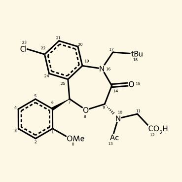 COc1ccccc1[C@@H]1O[C@@H](N(CC(=O)O)C(C)=O)C(=O)N(CC(C)(C)C)c2ccc(Cl)cc21